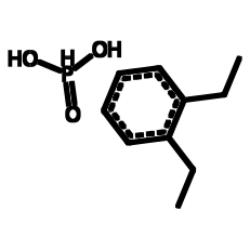 CCc1ccccc1CC.O=[PH](O)O